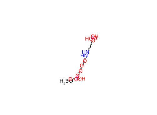 BC1CCC(COP(O)OCCOCCOCCOCCNCNCCCCCCOP(=O)(O)O)O1